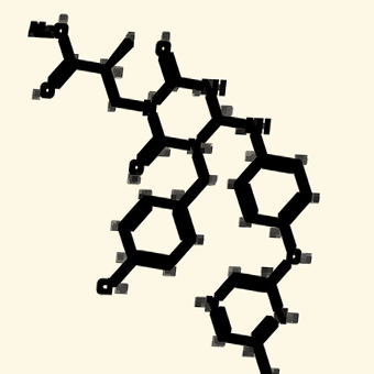 COC(=O)[C@@H](C)CN1C(=O)NC(Nc2ccc(Oc3cncc(C)n3)cc2)N(Cc2ccc(Cl)cc2)C1=O